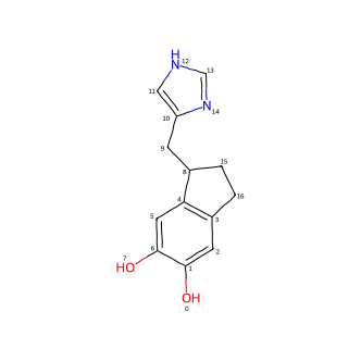 Oc1cc2c(cc1O)C(Cc1c[nH]cn1)CC2